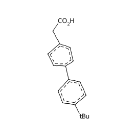 CC(C)(C)c1ccc(-c2ccc(CC(=O)O)cc2)cc1